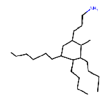 CCCCCCC1CC(CCCN)C(C)C(CCCC)C1CCCC